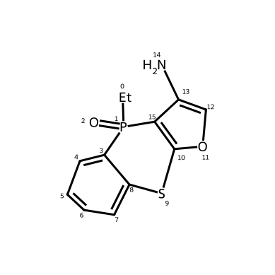 CCP1(=O)c2ccccc2Sc2occ(N)c21